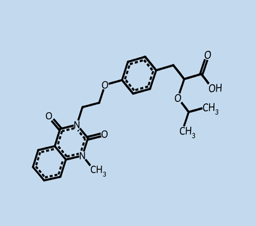 CC(C)OC(Cc1ccc(OCCn2c(=O)c3ccccc3n(C)c2=O)cc1)C(=O)O